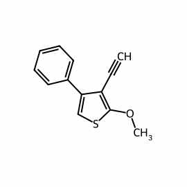 C#Cc1c(-c2ccccc2)csc1OC